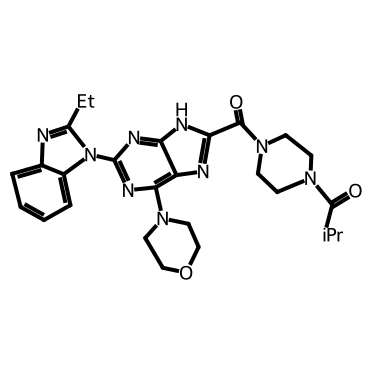 CCc1nc2ccccc2n1-c1nc(N2CCOCC2)c2nc(C(=O)N3CCN(C(=O)C(C)C)CC3)[nH]c2n1